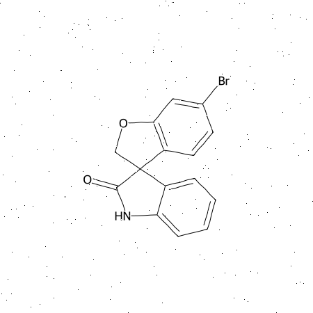 O=C1Nc2ccccc2C12COc1cc(Br)ccc12